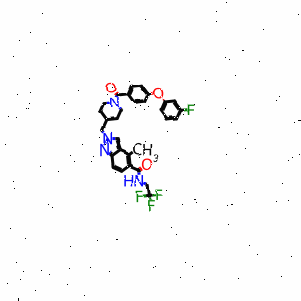 Cc1c(C(=O)NCC(F)(F)F)ccc2nn(CC3CCN(C(=O)c4ccc(Oc5cccc(F)c5)cc4)CC3)cc12